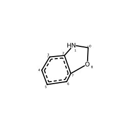 [C]1Nc2[c]cccc2O1